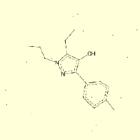 CCCn1nc(-c2ccc(C)cc2)c(O)c1CC